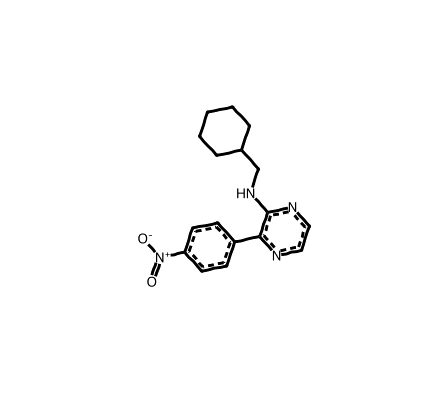 O=[N+]([O-])c1ccc(-c2nccnc2NCC2CCCCC2)cc1